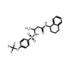 CC(CC(=O)NC1CCCc2ccccc21)NS(=O)(=O)c1ccc(OC(F)(F)F)cc1